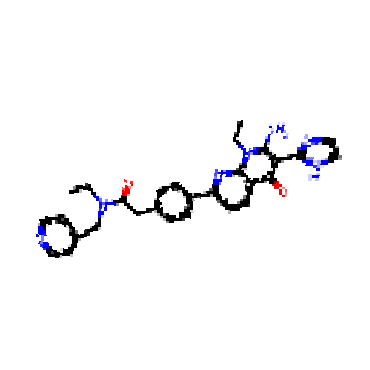 CCN(Cc1ccncc1)C(=O)Cc1ccc(-c2ccc3c(=O)c(-c4ncc[nH]4)c(N)n(CC)c3n2)cc1